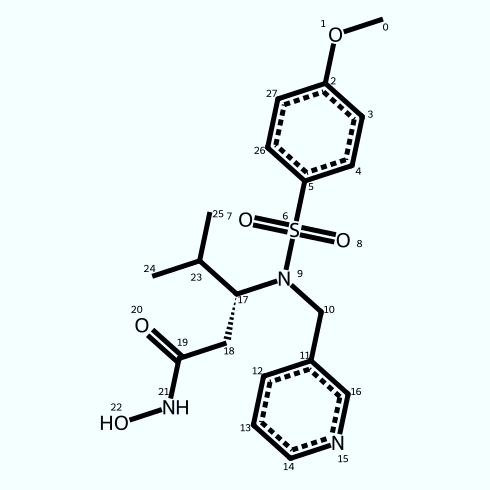 COc1ccc(S(=O)(=O)N(Cc2cccnc2)[C@H](CC(=O)NO)C(C)C)cc1